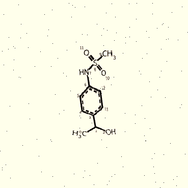 CC(O)c1ccc(NS(C)(=O)=O)cc1